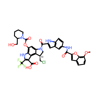 COc1cccc2cc(C(=O)Nc3ccc4[nH]c(C(=O)N5C[C@@H](CCl)c6c5cc(OC(=O)N5CCCCC5CO)c5[nH]c(C(F)(F)F)c(C(=O)O)c65)cc4c3)oc12